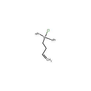 C=CCC[Si](Cl)(CCC)CCC